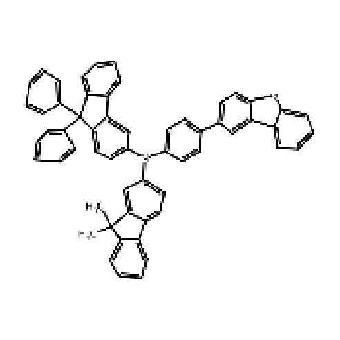 CC1(C)c2ccccc2-c2ccc(N(c3ccc(-c4ccc5sc6ccccc6c5c4)cc3)c3ccc4c(c3)-c3ccccc3C4(c3ccccc3)c3ccccc3)cc21